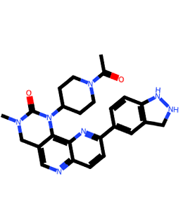 CC(=O)N1CCC(N2C(=O)N(C)Cc3cnc4ccc(-c5ccc6c(c5)CNN6)nc4c32)CC1